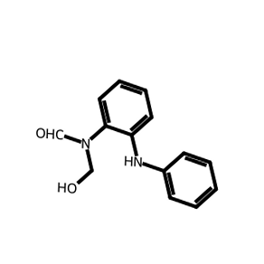 O=CN(CO)c1ccccc1Nc1ccccc1